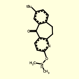 C[SiH](C)Oc1ccc2c(n1)CCc1ccc(C(C)(C)C)cc1C2=O